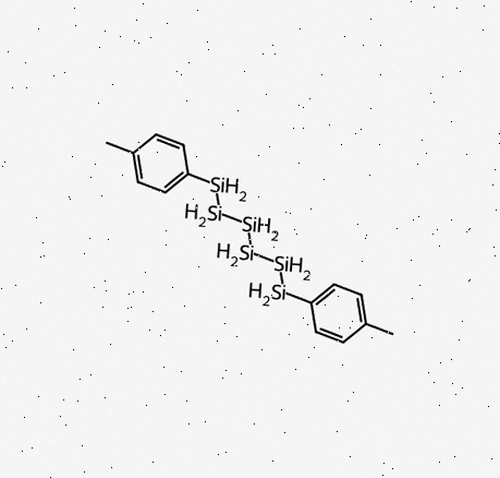 Cc1ccc([SiH2][SiH2][SiH2][SiH2][SiH2][SiH2]c2ccc(C)cc2)cc1